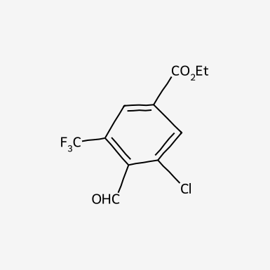 CCOC(=O)c1cc(Cl)c(C=O)c(C(F)(F)F)c1